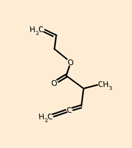 C=C=CC(C)C(=O)OCC=C